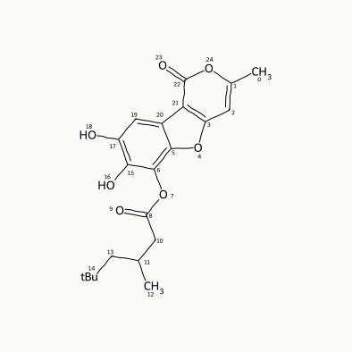 Cc1cc2oc3c(OC(=O)CC(C)CC(C)(C)C)c(O)c(O)cc3c2c(=O)o1